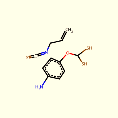 C=CCN=C=S.Nc1ccc(OC(S)S)cc1